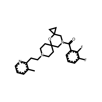 Cc1cccnc1CCN1CCC2(CC1)CN(C(=O)c1cccc(F)c1F)CC1(CC1)O2